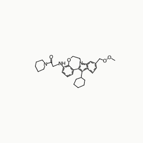 COOCc1ccc2c(C3CCCCC3)c3n(c2c1)CCOc1c(NCC(=O)N2CCCCC2)cccc1-3